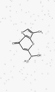 Cc1coc2c(=O)cc(N(C)O)oc12